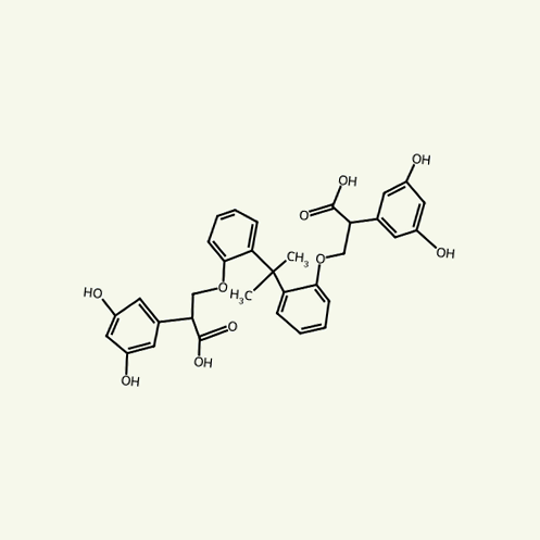 CC(C)(c1ccccc1OCC(C(=O)O)c1cc(O)cc(O)c1)c1ccccc1OCC(C(=O)O)c1cc(O)cc(O)c1